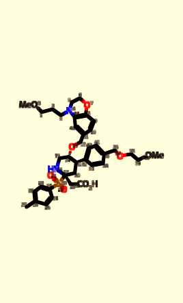 COCCCN1CCOc2ccc(CO[C@H]3CN[C@@](CC(=O)O)(S(=O)(=O)c4ccc(C)cc4)C[C@@H]3c3ccc(COCCOC)cc3)cc21